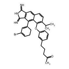 CC(=O)CCCc1cccc(Oc2c(C(C)C)ccc3cc4c(c(C5=CC(Br)=CCC5)c23)C(=N)NC4=N)c1